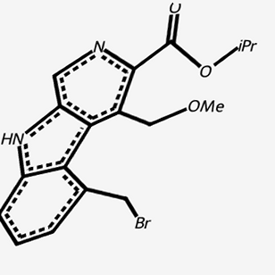 COCc1c(C(=O)OC(C)C)ncc2[nH]c3cccc(CBr)c3c12